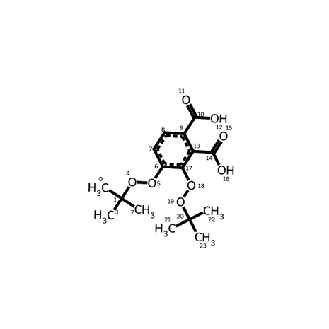 CC(C)(C)OOc1ccc(C(=O)O)c(C(=O)O)c1OOC(C)(C)C